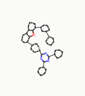 c1ccc(-c2cccc(-c3cccc4c3oc3c(-c5ccc(-c6nc(-c7ccccc7)nc(-c7ccccc7)n6)cc5)cccc34)c2)cc1